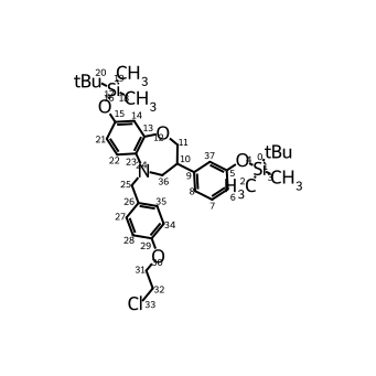 CC(C)(C)[Si](C)(C)Oc1cccc(C2COc3cc(O[Si](C)(C)C(C)(C)C)ccc3N(Cc3ccc(OCCCl)cc3)C2)c1